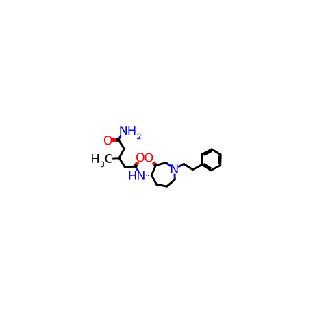 CC(CC(N)=O)CC(=O)N[C@H]1CCCN(CCc2ccccc2)CC1=O